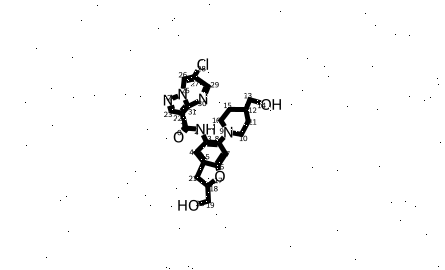 O=C(Nc1cc2c(cc1N1CCC(CO)CC1)OC(CO)C2)c1cnn2cc(Cl)cnc12